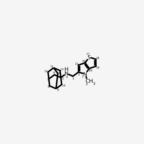 Cn1c(CNC23CC4CC(CC(C4)C2)C3)cc2sccc21